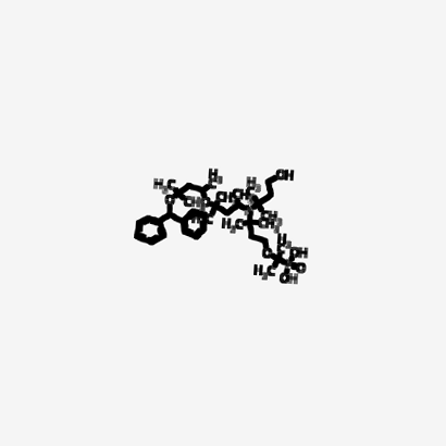 CC(CC(C)(C)OC(c1ccccc1)c1ccccc1)OC(C)(C)CC(C)N(C(C)(C)CCO)C(C)(C)CCOC(C)(C)P(=O)(O)O